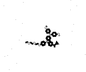 CCOCCOCCOc1ccc(-n2c3ccc(C(C)C4=CC4)cc3c3cc(N(c4ccc(OC)cc4)C4C=CC(OC)=CC4)ccc32)cc1